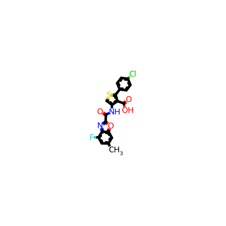 Cc1cc(F)c2nc(C(=O)Nc3csc(-c4ccc(Cl)cc4)c3C(=O)O)oc2c1